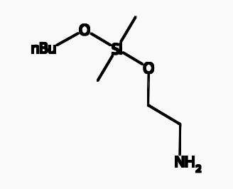 CCCCO[Si](C)(C)OCCN